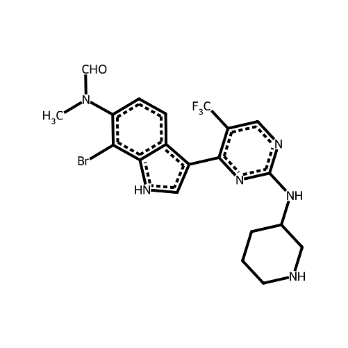 CN(C=O)c1ccc2c(-c3nc(NC4CCCNC4)ncc3C(F)(F)F)c[nH]c2c1Br